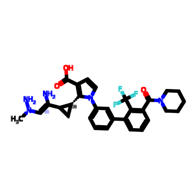 CN(N)/C=C(\N)C1C[C@H]1c1c(C(=O)O)ccn1-c1cccc(-c2cccc(C(=O)N3CCCCC3)c2C(F)(F)F)c1